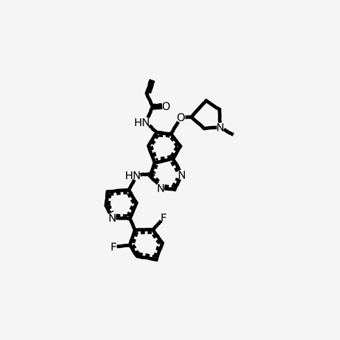 C=CC(=O)Nc1cc2c(Nc3ccnc(-c4c(F)cccc4F)c3)ncnc2cc1OC1CCN(C)C1